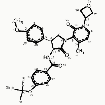 COc1ccc([C@@H]2CN(c3c(C)ccn(C4COC4)c3=O)C(=O)[C@H]2NC(=O)c2ccc(OC(F)(F)F)cc2)cc1